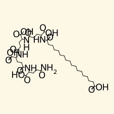 NC(=O)CCC(NC(=O)CCC(NC(=O)CCC(NC(=O)CCC(NC(=O)CCCCCCCCCCCCCCCCC(=O)O)C(=O)O)C(=O)O)C(=O)O)C(=O)O